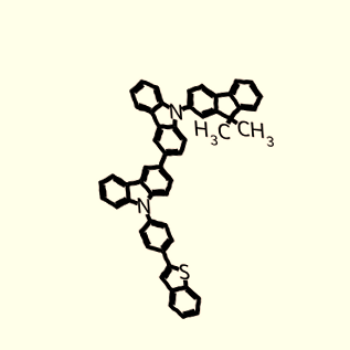 CC1(C)c2ccccc2-c2ccc(-n3c4ccccc4c4cc(-c5ccc6c(c5)c5ccccc5n6-c5ccc(-c6cc7ccccc7s6)cc5)ccc43)cc21